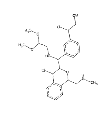 CNCC1OC(C(NCC(OC)OC)c2cccc(C(Cl)CO)c2)C(Cl)c2ccccc21